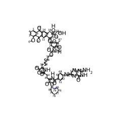 COc1cccc2c1C(=O)c1cc3c(cc1C2=O)C[C@@](O)(C(=O)CO)C[C@@H]3O[C@H]1C[C@@H](NC(=O)OCCSSC[C@@H](NC(=O)CC[C@@H](NC(=O)c2ccc(NCc3cnc4nc(N)[nH]c(=O)c4n3)cc2)C(=O)OC2/C=C/CCCCC2)C(=O)O)[C@H](O)[C@H](C)O1